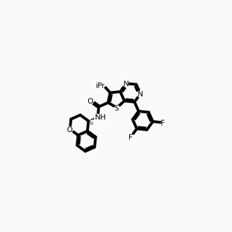 CC(C)c1c(C(=O)N[C@H]2CCOc3ccccc32)sc2c(-c3cc(F)cc(F)c3)ncnc12